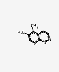 Cc1cnc2nnccc2c1C